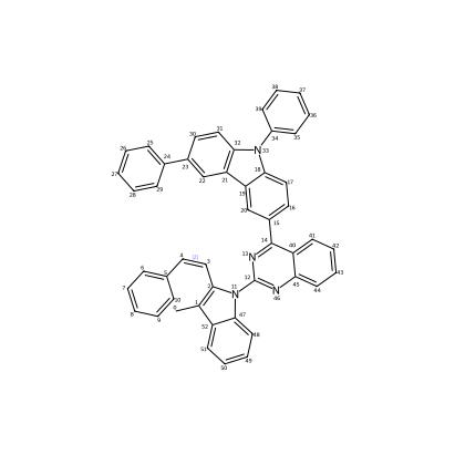 Cc1c(/C=C\c2ccccc2)n(-c2nc(-c3ccc4c(c3)c3cc(-c5ccccc5)ccc3n4-c3ccccc3)c3ccccc3n2)c2ccccc12